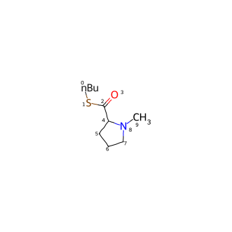 CCCCSC(=O)C1CCCN1C